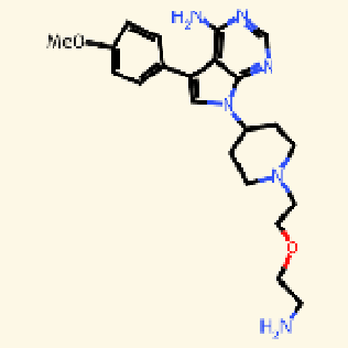 COc1ccc(-c2cn(C3CCN(CCOCCN)CC3)c3ncnc(N)c23)cc1